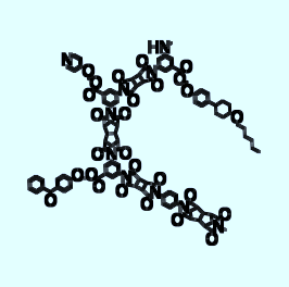 CCCCCCOC1CCC(c2ccc(OCOC(=O)c3cc(NC)cc(N4C(=O)C5C(C4=O)C4C(=O)N(c6cc(C(=O)OCOc7ccncc7)cc(N7C(=O)C8CC(C7=O)C7C9CC(C(=O)N(c%10cc(C(=O)OCOc%11ccc(C(=O)c%12ccccc%12)cc%11)cc(N%11C(=O)C%12C%13C(=O)N(c%14ccc(N%15C(=O)C%16CC(C%15=O)C%15C%17CC(C(=O)N(C)C%17=O)C%16%15)cc%14)C(=O)C%13C%12C%11=O)c%10)C9=O)C87)c6)C(=O)C54)c3)cc2)CC1